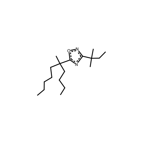 CCCCCC(C)(CCCC)c1nc(C(C)(C)CC)no1